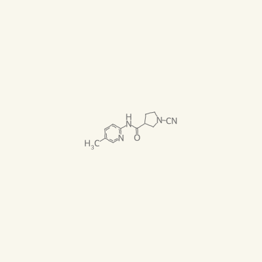 Cc1ccc(NC(=O)C2CCN(C#N)C2)nc1